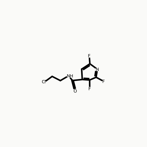 O=C(NCCCl)c1cc(F)nc(F)c1F